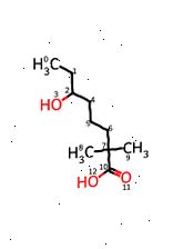 CCC(O)CCCC(C)(C)C(=O)O